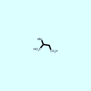 CCCCC(CC(=O)O)S(=O)(=O)O